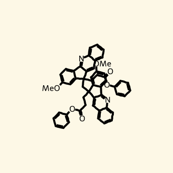 COc1ccc2c(c1)C(CCC(=O)Oc1ccccc1)(CC1(CCC(=O)Oc3ccccc3)c3cc(OC)ccc3-c3nc4ccccc4cc31)c1cc3ccccc3nc1-2